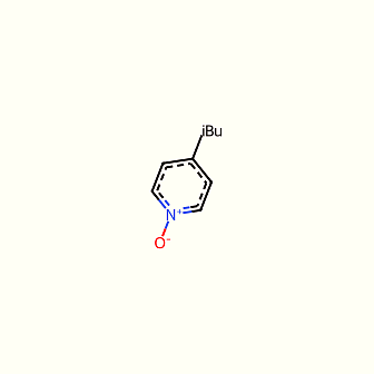 CCC(C)c1cc[n+]([O-])cc1